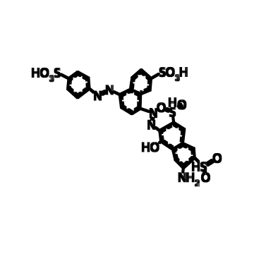 Nc1cc2c(O)c(/N=N/c3ccc(/N=N/c4ccc(S(=O)(=O)O)cc4)c4ccc(S(=O)(=O)O)cc34)c([SH](=O)=O)cc2cc1[SH](=O)=O